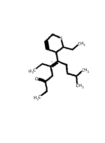 CCC(=O)C/C(CC)=C(\CCC(C)C)C1C#CCSC1CC